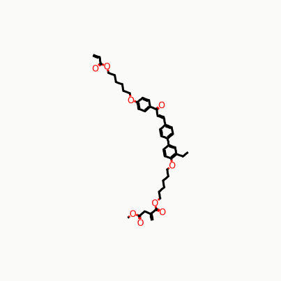 C=CC(=O)OCCCCCCOc1ccc(C(=O)/C=C/c2ccc(-c3ccc(OCCCCCCOC(=O)C(=C)CC(=O)OC)c(CC)c3)cc2)cc1